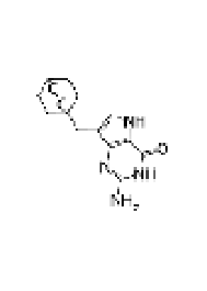 Nc1nc2c(CC34CCC(CC3)CC4)c[nH]c2c(=O)[nH]1